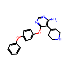 Nc1ncnc(Oc2ccc(Oc3ccccc3)cc2)c1C1=CCNCC1